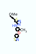 COCC#Cc1cc2c(Nc3ccc(Oc4ccc5scnc5c4)c(C)c3)ncnc2s1